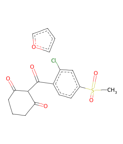 CS(=O)(=O)c1ccc(C(=O)C2C(=O)CCCC2=O)c(Cl)c1.c1ccoc1